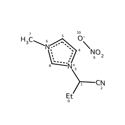 CCC(C#N)[n+]1ccn(C)c1.O=[N+]([O-])[O-]